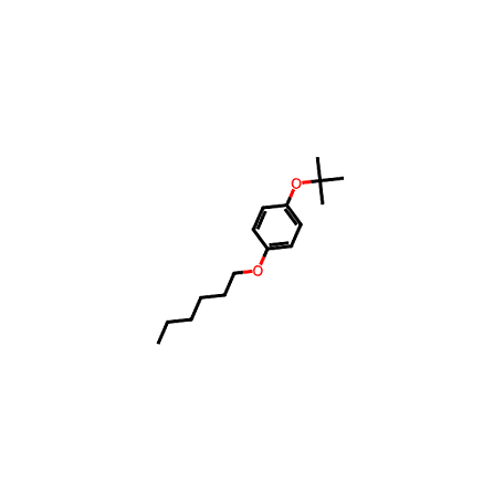 CCCCCCOc1ccc(OC(C)(C)C)cc1